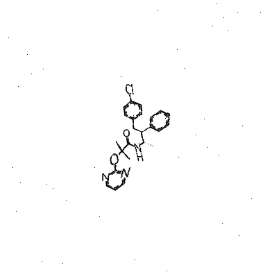 C[C@H](NC(=O)C(C)(C)Oc1ncccn1)[C@@H](Cc1ccc(Cl)cc1)c1ccccc1